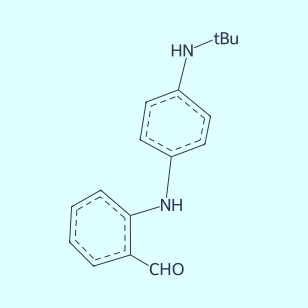 CC(C)(C)Nc1ccc(Nc2ccccc2C=O)cc1